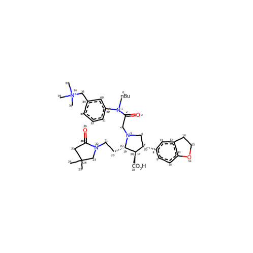 CCCCN(C(=O)CN1C[C@H](c2ccc3c(c2)CCO3)[C@@H](C(=O)O)[C@@H]1CCN1CC(C)(C)CC1=O)c1cccc(C[N+](C)(C)C)c1